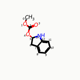 COC(=O)O[C@@H]1Cc2ccccc2N1